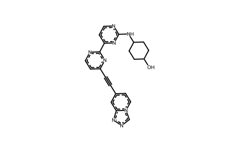 OC1CCC(Nc2nccc(-c3nccc(C#Cc4ccn5cnnc5c4)n3)n2)CC1